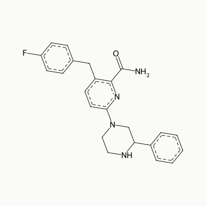 NC(=O)c1nc(N2CCNC(c3ccccc3)C2)ccc1Cc1ccc(F)cc1